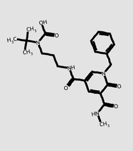 CNC(=O)c1cc(C(=O)NCCCN(C(=O)O)C(C)(C)C)cn(Cc2ccccc2)c1=O